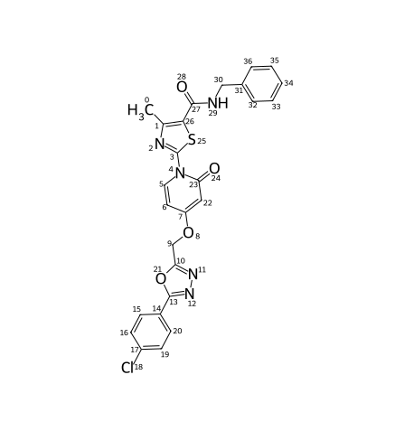 Cc1nc(-n2ccc(OCc3nnc(-c4ccc(Cl)cc4)o3)cc2=O)sc1C(=O)NCc1ccccc1